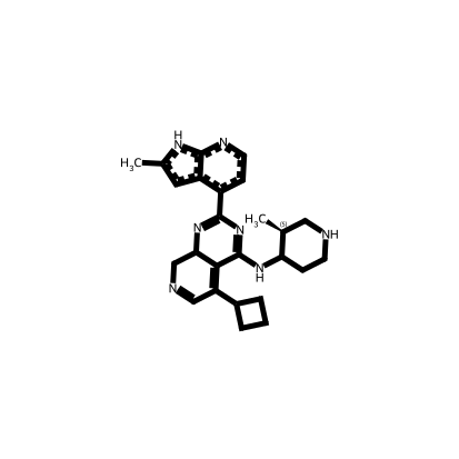 Cc1cc2c(C3=NC4CN=CC(C5CCC5)=C4C(NC4CCNC[C@@H]4C)=N3)ccnc2[nH]1